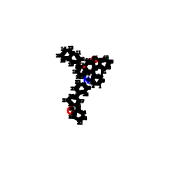 c1ccc(N(c2ccc(-c3ccc4ccccc4c3)cc2)c2ccc(-c3ccc4oc5ccccc5c4c3)cc2)c(-c2cccc3oc4ccccc4c23)c1